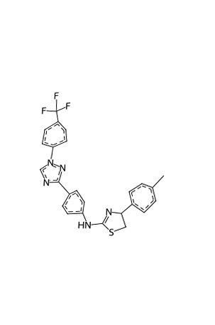 Cc1ccc(C2CSC(Nc3ccc(-c4ncn(-c5ccc(C(F)(F)F)cc5)n4)cc3)=N2)cc1